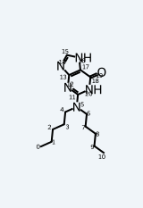 CCCCCN(CCCCC)c1nc2nc[nH]c2c(=O)[nH]1